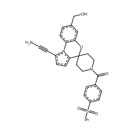 CC(C)S(=O)(=O)c1ccc(C(=O)N2CCC3(CC2)Oc2cc(CO)ccc2-n2c(C#CN)ccc23)cc1